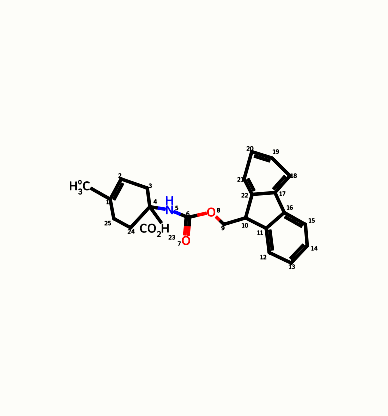 CC1=CCC(NC(=O)OCC2c3ccccc3-c3ccccc32)(C(=O)O)CC1